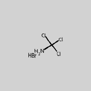 Br.NC(Cl)(Cl)Cl